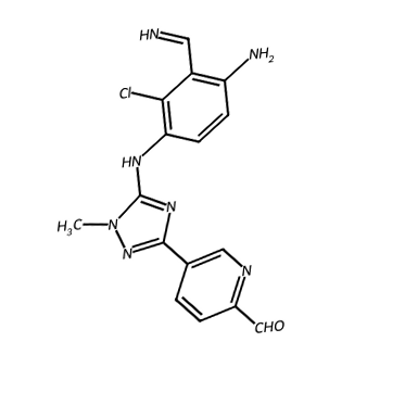 Cn1nc(-c2ccc(C=O)nc2)nc1Nc1ccc(N)c(C=N)c1Cl